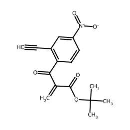 C#Cc1cc([N+](=O)[O-])ccc1C(=O)C(=C)C(=O)OC(C)(C)C